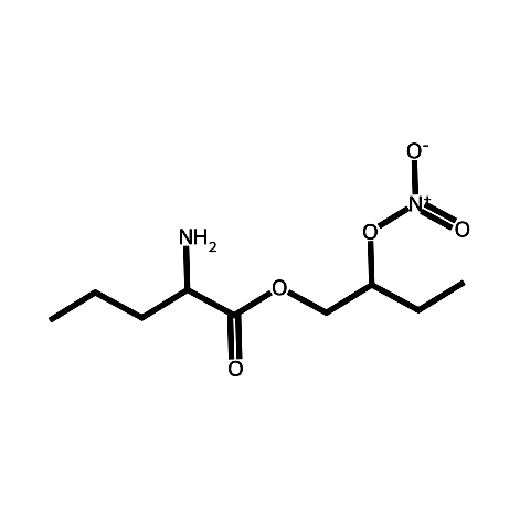 CCCC(N)C(=O)OCC(CC)O[N+](=O)[O-]